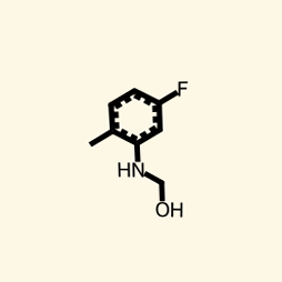 Cc1ccc(F)cc1NCO